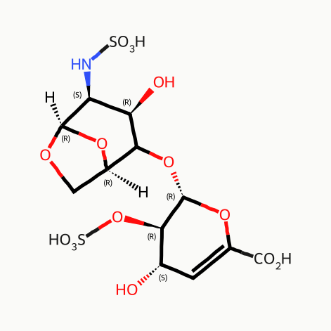 O=C(O)C1=C[C@H](O)[C@@H](OS(=O)(=O)O)[C@H](OC2[C@H]3CO[C@H](O3)[C@@H](NS(=O)(=O)O)[C@H]2O)O1